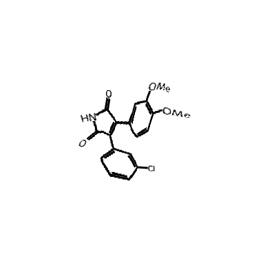 COc1ccc(C2=C(c3cccc(Cl)c3)C(=O)NC2=O)cc1OC